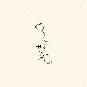 O=C(OCc1ccccc1)[C@@H]1C[C@@H](S(=O)(=O)CO)CN1